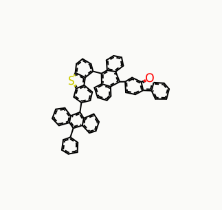 c1ccc(-c2c3ccccc3c(-c3ccc4c(c3)sc3cccc(-c5c6ccccc6c(-c6ccc7c(c6)oc6ccccc67)c6ccccc56)c34)c3ccccc23)cc1